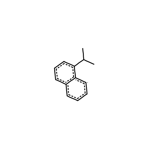 CC(C)c1cccc2ccc[c]c12